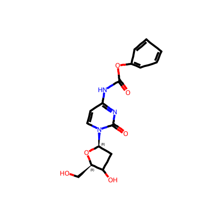 O=C(Nc1ccn([C@H]2CC(O)[C@@H](CO)O2)c(=O)n1)Oc1ccccc1